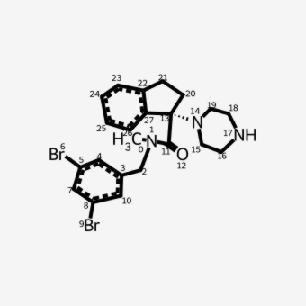 CN(Cc1cc(Br)cc(Br)c1)C(=O)[C@]1(N2CCNCC2)CCc2ccccc21